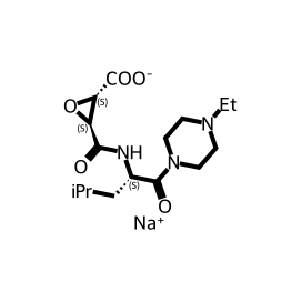 CCN1CCN(C(=O)[C@H](CC(C)C)NC(=O)[C@H]2O[C@@H]2C(=O)[O-])CC1.[Na+]